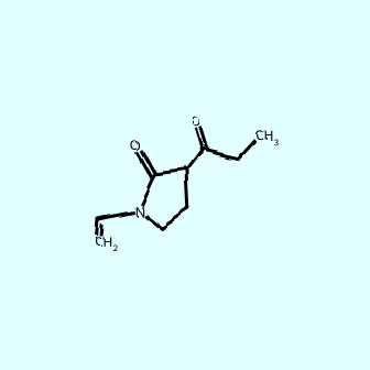 C=CN1CCC(C(=O)CC)C1=O